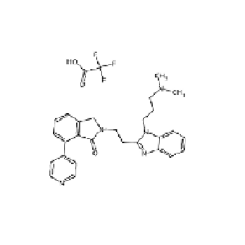 CN(C)CCCn1c(CCN2Cc3cccc(-c4ccncc4)c3C2=O)nc2ccccc21.O=C(O)C(F)(F)F